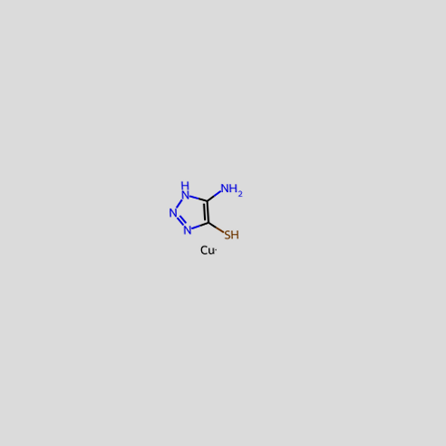 Nc1[nH]nnc1S.[Cu]